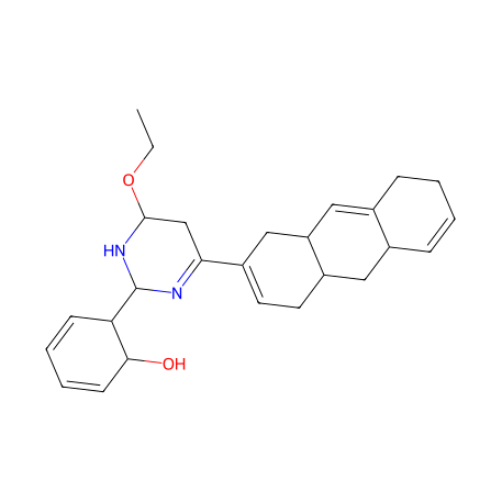 CCOC1CC(C2=CCC3CC4C=CCCC4=CC3C2)=NC(C2C=CC=CC2O)N1